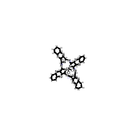 Cl[Si]1(Cl)n2c3c4nc5ccccc5nc4c2/N=C2N=C(/N=c4/c5nc6ccccc6nc5/c(n41)=N/C1=NC(=N\3)/c3nc4ccccc4nc31)c1nc3ccccc3nc1\2